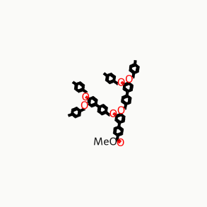 COC(=O)c1ccc(-c2ccc(OCc3ccc(-c4ccc(OCc5ccc(C)cc5)c(OCc5ccc(C)cc5)c4)cc3)c(OCc3ccc(-c4ccc(OCc5ccc(C)cc5)c(OCc5ccc(C)cc5)c4)cc3)c2)cc1